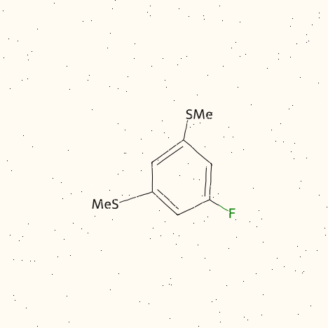 CSc1cc(F)cc(SC)c1